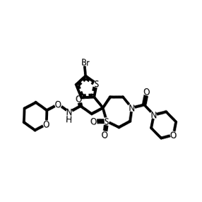 O=C(CC1(c2ccc(Br)s2)CCN(C(=O)N2CCOCC2)CCS1(=O)=O)NOC1CCCCO1